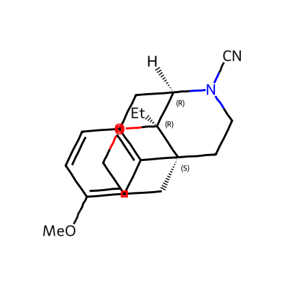 CC[C@@]12OCCC[C@@]13CCN(C#N)[C@@H]2Cc1ccc(OC)cc13